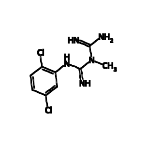 CN(C(=N)N)C(=N)Nc1cc(Cl)ccc1Cl